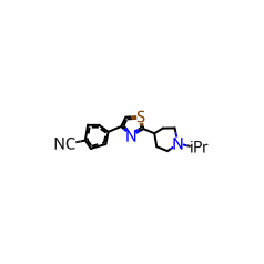 CC(C)N1CCC(c2nc(-c3ccc(C#N)cc3)cs2)CC1